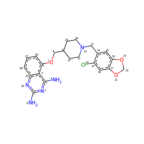 Nc1nc(N)c2c(OCC3CCN(Cc4cc5c(cc4Cl)OCO5)CC3)cccc2n1